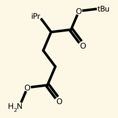 CC(C)C(CCC(=O)ON)C(=O)OC(C)(C)C